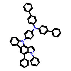 c1ccc(-c2ccc(N(c3ccc(-c4ccccc4)cc3)c3ccc(-n4c5ccccc5c5cc(-c6ccccc6)c6c(ccn6-c6ccccc6)c54)cc3)cc2)cc1